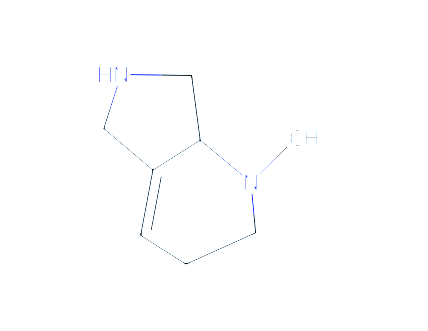 CN1CCC=C2CNCC21